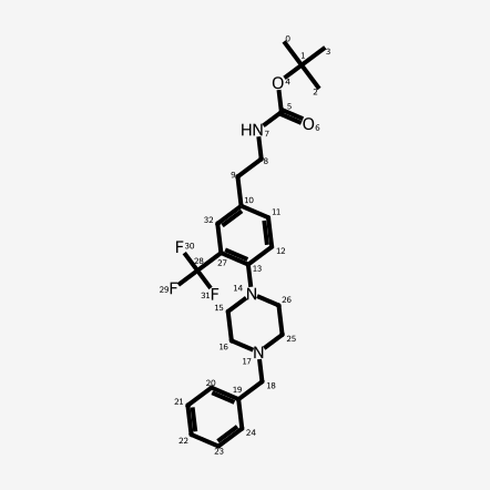 CC(C)(C)OC(=O)NCCc1ccc(N2CCN(Cc3ccccc3)CC2)c(C(F)(F)F)c1